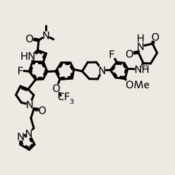 COc1cc(N2CCC(c3ccc(-c4cc(C5=CCCN(C(=O)CCn6cccn6)C5)c(F)c5[nH]c(C(=O)N(C)C)cc45)c(OC(F)(F)F)c3)CC2)c(F)cc1N[C@H]1CCC(=O)NC1=O